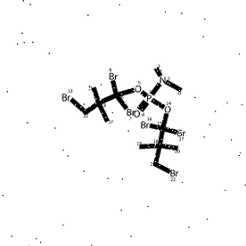 CN(C)P(=O)(OC(Br)(Br)C(C)(C)CBr)OC(Br)(Br)C(C)(C)CBr